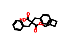 O=C(O)C(Cc1ccccc1)(Cc1ccccc1)C(=O)OCC1CCC1